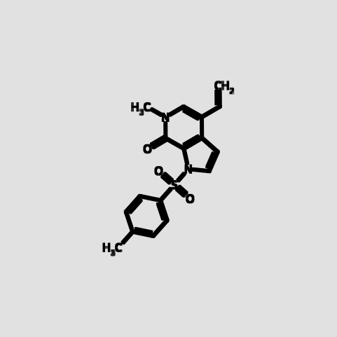 C=Cc1cn(C)c(=O)c2c1ccn2S(=O)(=O)c1ccc(C)cc1